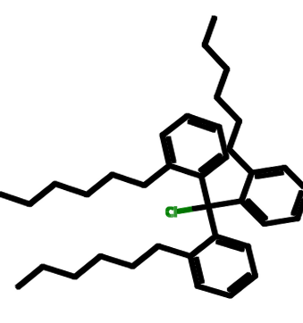 CCCCCCc1ccccc1C(Cl)(c1ccccc1CCCCCC)c1ccccc1CCCCCC